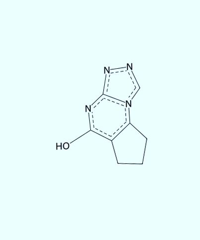 Oc1nc2nncn2c2c1CCC2